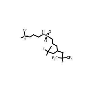 C[NH+]([O-])CCCNS(=O)(=O)CCCC(CC(C)(C)F)CC(F)(C(F)(F)F)C(F)(F)F